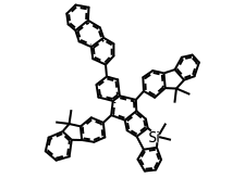 CC1(C)c2ccccc2-c2ccc(-c3c4ccc(-c5ccc6cc7ccccc7cc6c5)cc4c(-c4ccc5c(c4)C(C)(C)c4ccccc4-5)c4cc5c(cc34)-c3ccccc3[Si]5(C)C)cc21